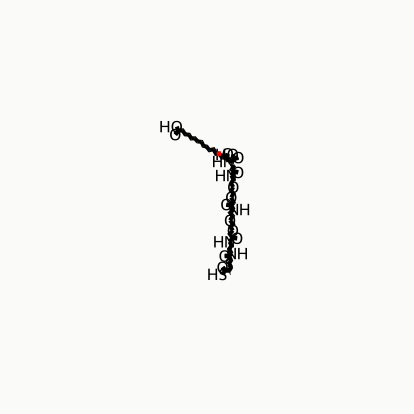 C[C@@H](CSCC(=O)NCCNC(=O)COCCOCCNC(=O)COCCOCCNC(=O)CC[C@H](NC(=O)CCCCCCCCCCCCCCC(=O)O)C(=O)O)C(=O)S